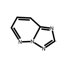 [c]1nc2cccnn2n1